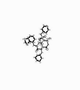 CCCN1CC(=O)N2[C@@H](Cc3ccccc3)C(=O)N(Cc3cccc4scnc34)C[C@@H]2N1S(=O)(=O)Cc1ccncc1